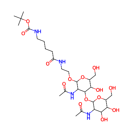 CC(=O)NC1C(OC2C(O)C(CO)OC(OCCNC(=O)CCCCNC(=O)OC(C)(C)C)C2NC(C)=O)OC(CO)C(O)C1O